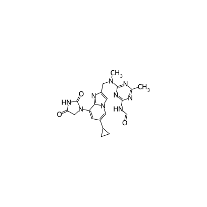 Cc1nc(NC=O)nc(N(C)Cc2cn3cc(C4CC4)cc(N4CC(=O)NC4=O)c3n2)n1